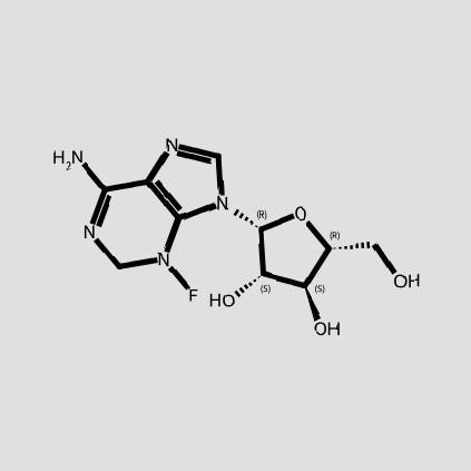 NC1=NCN(F)c2c1ncn2[C@@H]1O[C@H](CO)[C@@H](O)[C@@H]1O